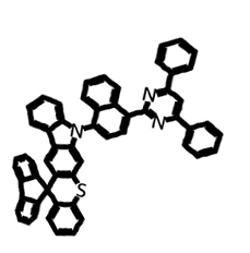 c1ccc(-c2cc(-c3ccccc3)nc(-c3ccc(-n4c5ccccc5c5cc6c(cc54)Sc4ccccc4C64c5ccccc5-c5ccccc54)c4ccccc34)n2)cc1